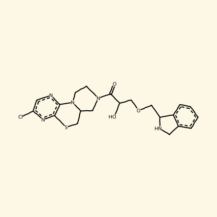 O=C(C(O)COCC1NCc2ccccc21)N1CCN2c3ncc(Cl)nc3SCC2C1